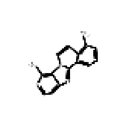 Cc1cccc2c1ccn1c2nc2ccnc(C(C)(C)C)c21